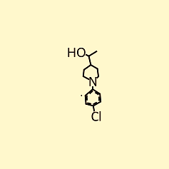 CC(O)C1CCN(c2[c]cc(Cl)cc2)CC1